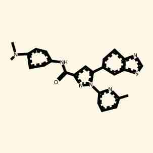 Cc1cccc(-n2nc(C(=O)Nc3ccc(N(C)C)cc3)cc2-c2ccc3ncsc3c2)n1